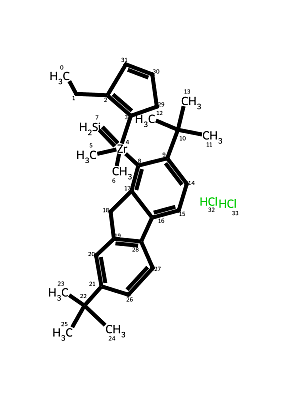 CCC1=[C]([Zr]([CH3])([CH3])(=[SiH2])[c]2c(C(C)(C)C)ccc3c2Cc2cc(C(C)(C)C)ccc2-3)CC=C1.Cl.Cl